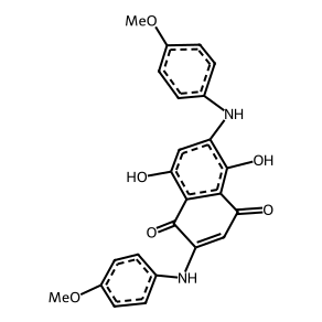 COc1ccc(NC2=CC(=O)c3c(O)c(Nc4ccc(OC)cc4)cc(O)c3C2=O)cc1